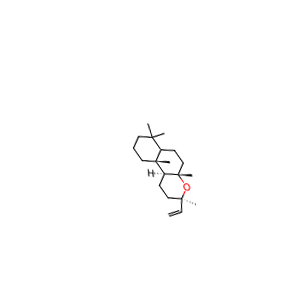 C=C[C@@]1(C)CC[C@@H]2[C@](C)(CCC3C(C)(C)CCC[C@]32C)O1